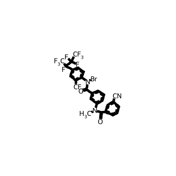 CN(C(=O)c1cccc(C#N)c1)c1cccc(C(=O)N(Br)c2ccc(C(F)(C(F)(F)F)C(F)(F)C(F)(F)F)cc2C(F)(F)F)c1